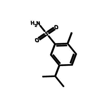 Cc1ccc(C(C)C)cc1S(N)(=O)=O